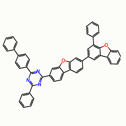 c1ccc(-c2ccc(-c3nc(-c4ccccc4)nc(-c4ccc5c(c4)oc4cc(-c6cc(-c7ccccc7)c7oc8ccccc8c7c6)ccc45)n3)cc2)cc1